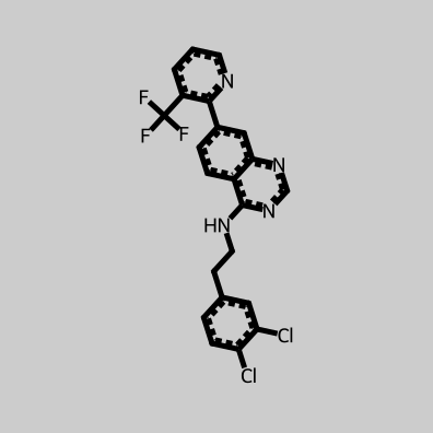 FC(F)(F)c1cccnc1-c1ccc2c(NCCc3ccc(Cl)c(Cl)c3)ncnc2c1